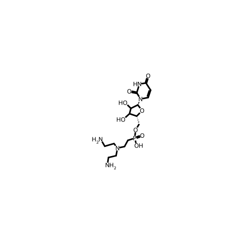 NCCN(CCN)CCP(=O)(O)OC[C@H]1O[C@@H](n2ccc(=O)[nH]c2=O)C(O)C1O